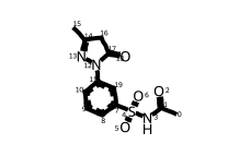 CC(=O)NS(=O)(=O)c1cccc(N2N=C(C)CC2=O)c1